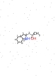 CC(O)Cc1cc2ccccc2[nH]1